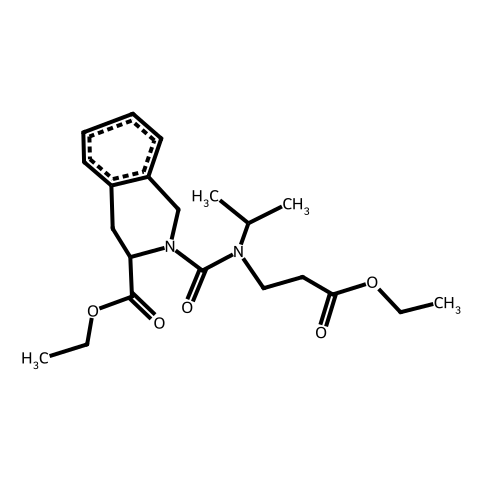 CCOC(=O)CCN(C(=O)N1Cc2ccccc2CC1C(=O)OCC)C(C)C